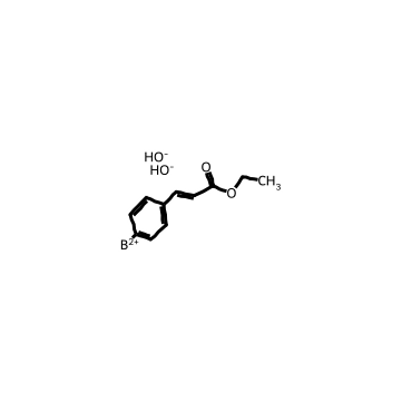 [B+2]c1ccc(C=CC(=O)OCC)cc1.[OH-].[OH-]